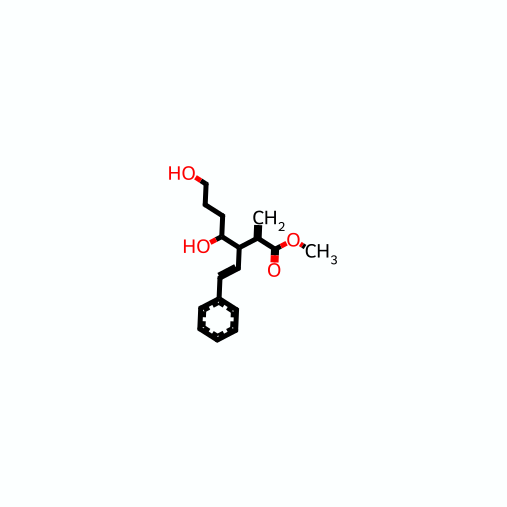 C=C(C(=O)OC)C(C=Cc1ccccc1)C(O)CCCO